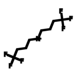 FC(F)(F)CCC[N]CCCC(F)(F)F